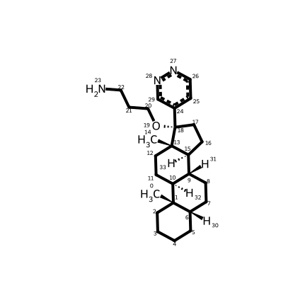 C[C@]12CCCC[C@H]1CC[C@@H]1[C@@H]2CC[C@@]2(C)[C@H]1CC[C@]2(OCCCN)c1ccnnc1